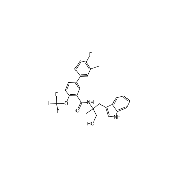 Cc1cc(-c2ccc(OC(F)(F)F)c(C(=O)NC(C)(CO)Cc3c[nH]c4ccccc34)c2)ccc1F